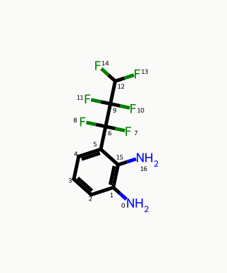 Nc1cccc(C(F)(F)C(F)(F)C(F)F)c1N